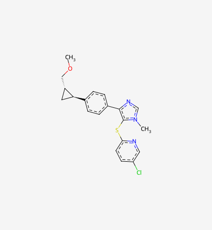 COC[C@H]1C[C@@H]1c1ccc(-c2ncn(C)c2Sc2ccc(Cl)cn2)cc1